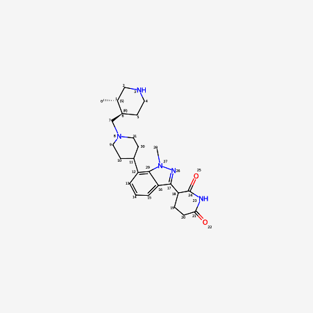 C[C@@H]1CNCC[C@H]1CN1CCC(c2cccc3c(C4CCC(=O)NC4=O)nn(C)c23)CC1